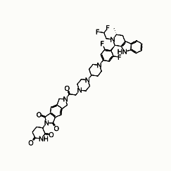 C[C@@H]1Cc2c([nH]c3ccccc23)[C@@H](c2c(F)cc(N3CCC(N4CCN(CC(=O)N5Cc6cc7c(cc6C5)C(=O)N(C5CCC(=O)NC5=O)C7=O)CC4)CC3)cc2F)N1CC(F)F